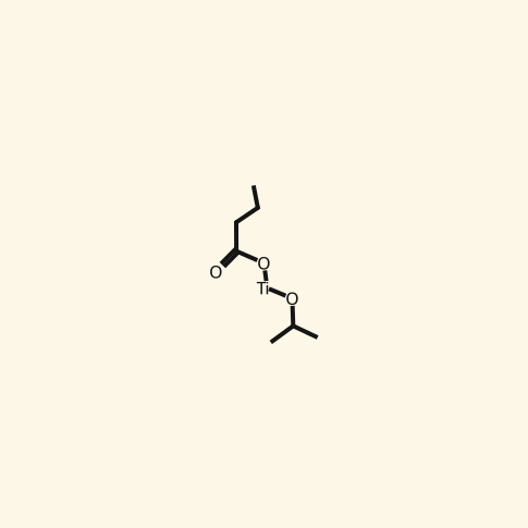 CCCC(=O)[O][Ti][O]C(C)C